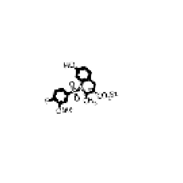 CCOC(=O)[C@@H]1Cc2ccc(O)cc2N(S(=O)(=O)c2ccc(F)c(OC)c2)[C@@H]1C